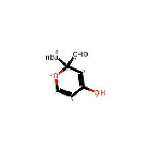 CCCCC1(C=O)C=C(O)C=CO1